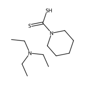 CCN(CC)CC.S=C(S)N1CCCCC1